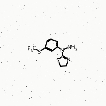 NN(C1=NCCS1)c1cccc(SC(F)(F)F)c1